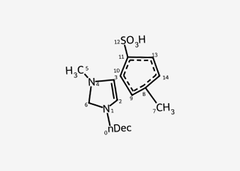 CCCCCCCCCCN1C=CN(C)C1.Cc1ccc(S(=O)(=O)O)cc1